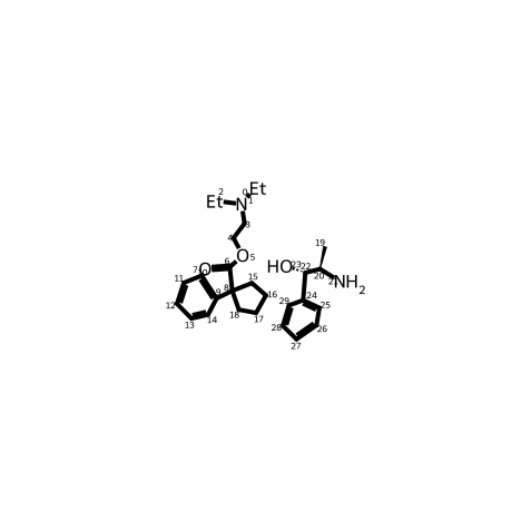 CCN(CC)CCOC(=O)C1(c2ccccc2)CCCC1.C[C@@H](N)[C@@H](O)c1ccccc1